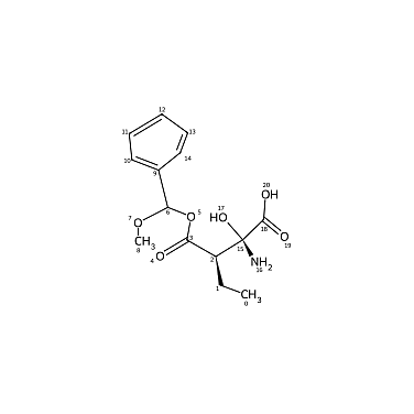 CC[C@@H](C(=O)OC(OC)c1ccccc1)[C@](N)(O)C(=O)O